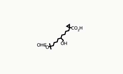 CC(C)(CCCCC(CO)CCCCC1(C(=O)O)CC1)OC=O